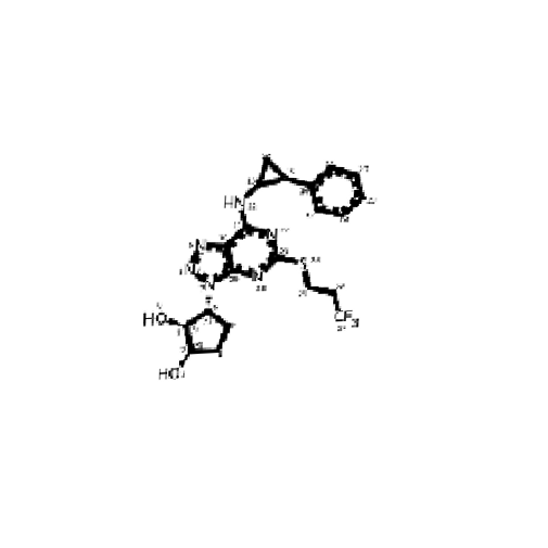 O[C@@H]1[C@H](O)CC[C@H]1n1nnc2c(NC3CC3c3ccccc3)nc(SCCC(F)(F)F)nc21